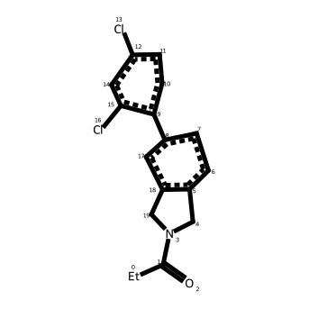 CCC(=O)N1Cc2ccc(-c3ccc(Cl)cc3Cl)cc2C1